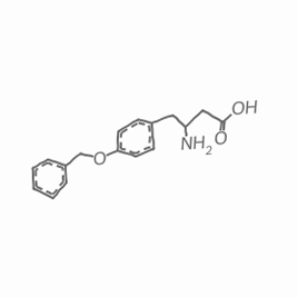 NC(CC(=O)O)Cc1ccc(OCc2ccccc2)cc1